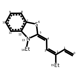 C=[C]C(=CC=C1Sc2ccccc2N1CC)CC